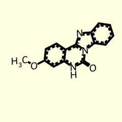 COc1ccc2c(c1)[nH]c(=O)n1c3ccccc3nc21